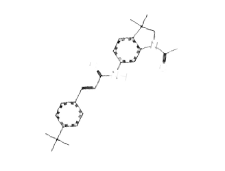 CC(=O)N1CC(C)(C)c2ccc(NC(=O)/C=C/c3ccc(C(C)(C)C)cc3)cc21